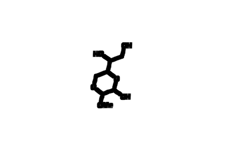 COC1OCC(C(O)CO)OC1O